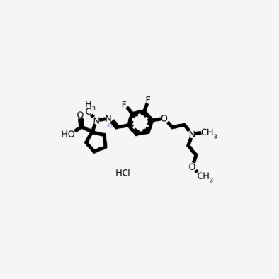 COCCN(C)CCOc1ccc(/C=N/N(C)C2(C(=O)O)CCCC2)c(F)c1F.Cl